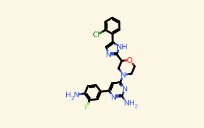 Nc1nc(-c2ccc(N)c(F)c2)cc(N2CCOC(c3ncc(-c4ccccc4Cl)[nH]3)C2)n1